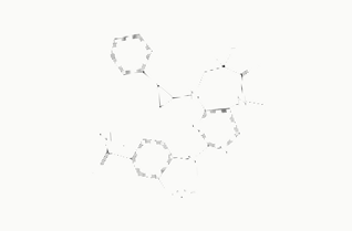 COc1cc(C(N)=O)ccc1Nc1ncc2c(n1)N(C1C[C@H]1c1ccccc1)CC(F)(F)C(=O)N2C